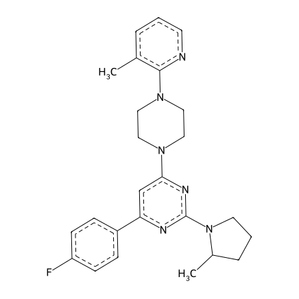 Cc1cccnc1N1CCN(c2cc(-c3ccc(F)cc3)nc(N3CCCC3C)n2)CC1